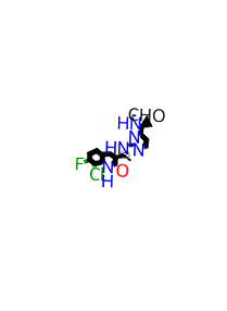 C[C@H](Nc1nccc(C2(NC=O)CC2)n1)c1cc2ccc(F)c(Cl)c2[nH]c1=O